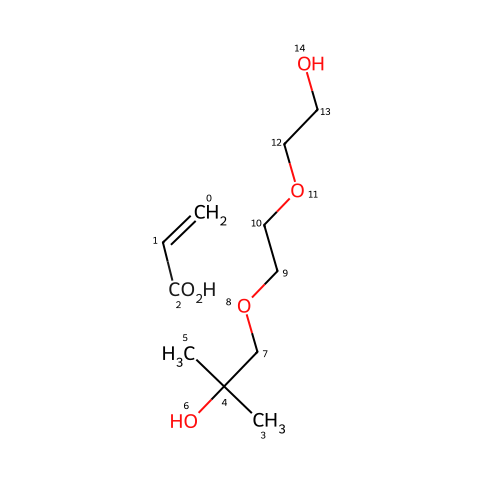 C=CC(=O)O.CC(C)(O)COCCOCCO